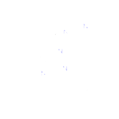 C=CCn1c(C)c(CO)c2cc(C(=O)N3CCN(C)CC3)nc(N3CCc4ccccc4C3)c21